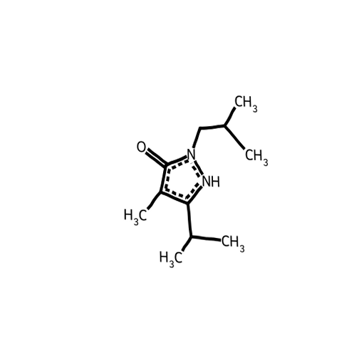 Cc1c(C(C)C)[nH]n(CC(C)C)c1=O